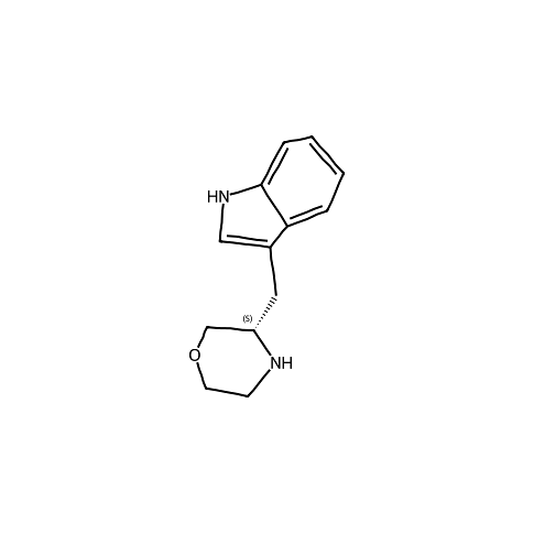 c1ccc2c(C[C@H]3COCCN3)c[nH]c2c1